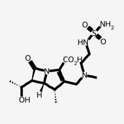 C[C@@H](O)[C@H]1C(=O)N2C(C(=O)O)=C(CN(C)CCNS(N)(=O)=O)[C@H](C)[C@H]12